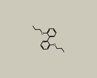 CCCOc1ccccc1-c1ccccc1OCCC